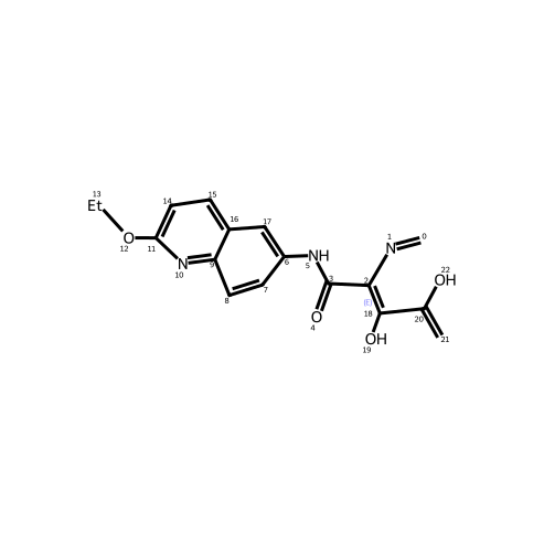 C=N/C(C(=O)Nc1ccc2nc(OCC)ccc2c1)=C(/O)C(=C)O